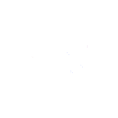 Brc1ccn2c(I)nnc2c1